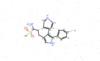 CS(=O)(=O)C(N)CCc1c[nH]c(-c2ccc(F)cc2)c1-c1ccncc1